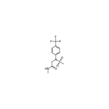 CNC(=O)CN(c1ccc(C(F)(F)F)cc1)S(C)(=O)=O